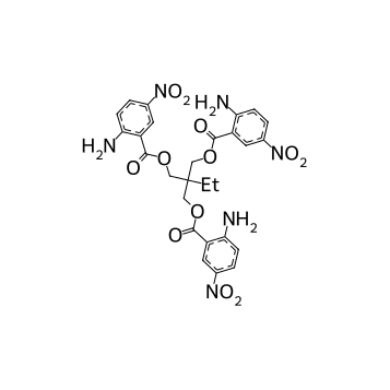 CCC(COC(=O)c1cc([N+](=O)[O-])ccc1N)(COC(=O)c1cc([N+](=O)[O-])ccc1N)COC(=O)c1cc([N+](=O)[O-])ccc1N